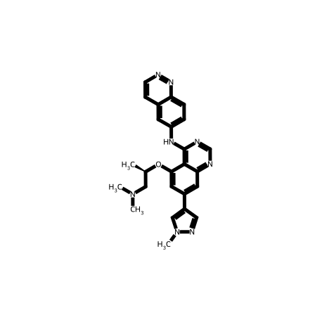 C[C@H](CN(C)C)Oc1cc(-c2cnn(C)c2)cc2ncnc(Nc3ccc4nnccc4c3)c12